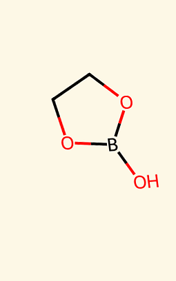 OB1OCCO1